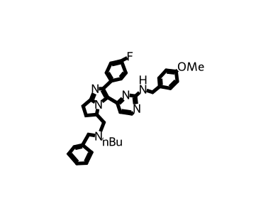 CCCCN(Cc1ccccc1)CC1CCc2nc(-c3ccc(F)cc3)c(-c3ccnc(NCc4ccc(OC)cc4)n3)n21